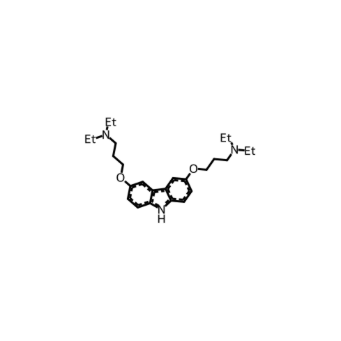 CCN(CC)CCCOc1ccc2[nH]c3ccc(OCCCN(CC)CC)cc3c2c1